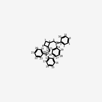 c1ccc(P(CC2CCC2CP(c2ccccc2)c2ccccc2)c2ccccc2)cc1